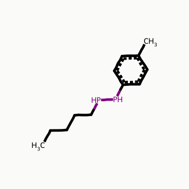 CCCCCPPc1ccc(C)cc1